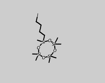 C[Si]1(C)O[Si](C)(C)O[Si](C)(CCCCI)O[Si](C)(C)O1